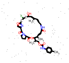 CC1=C\C(O)CC(F)Cc2nc(co2)C(=O)N2CCCC2C(=O)OC(C(C)COC(=O)Nc2ccc(C)cc2)C(C)/C=C/C(=O)NC\C=C\1